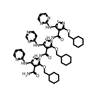 NC(=O)c1c(OCC2CCCCC2)nsc1Nc1ccccn1.NC(=O)c1c(OCC2CCCCC2)nsc1Nc1ccncn1.NC(=O)c1c(OCC2CCCCC2)nsc1Nc1ncccn1